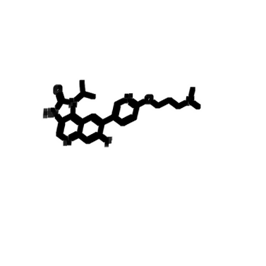 CC(C)n1c(=O)[nH]c2cnc3cc(F)c(-c4ccc(OCCCN(C)C)nc4)cc3c21